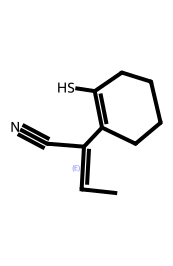 C/C=C(/C#N)C1=C(S)CCCC1